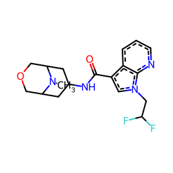 CN1C2COCC1CC(NC(=O)c1cn(CC(F)F)c3ncccc13)C2